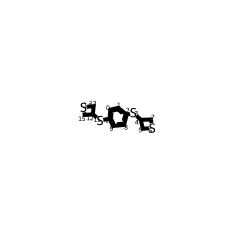 c1cc(SC2CSC2)ccc1SC1CSC1